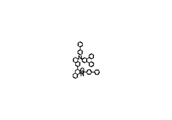 C1=CCC2CC(c3ccc4c(c3)C=CCC4N(c3ccc(-c4ccccc4)cc3)c3ccc(-c4ccccc4)c(-c4ccccc4)c3)c3oc(-c4ccc(-c5ccccc5)cc4)nc3C2=C1